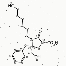 N#CCCCCCCN1C(=O)N(C(=O)O)C[C@@]1(CO)Cc1ccccc1